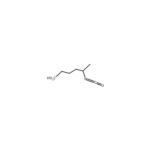 CC(CCCC(=O)O)N=C=O